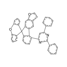 c1ccc(-c2cc(-c3cccc4c3-c3cc5ccoc5cc3C43c4ccccc4Oc4ccccc43)nc(-c3ccccc3)n2)cc1